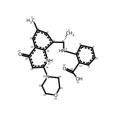 Cc1cc([C@H](C)Nc2ccccc2C(=O)O)c2[nH]c(N3CCOCC3)cc(=O)c2c1